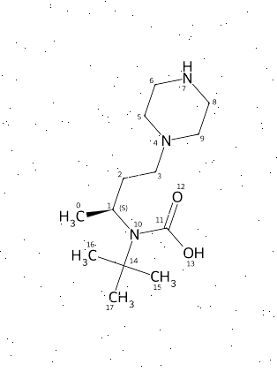 C[C@@H](CCN1CCNCC1)N(C(=O)O)C(C)(C)C